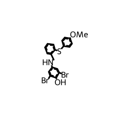 COc1ccc(Sc2ccccc2CNc2cc(Br)c(O)c(Br)c2)cc1